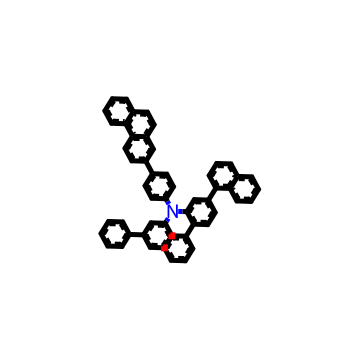 c1ccc(-c2cccc(N(c3ccc(-c4ccc5c(ccc6ccccc65)c4)cc3)c3cc(-c4cccc5ccccc45)ccc3-c3ccccc3)c2)cc1